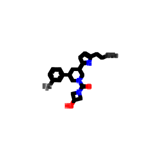 COCCC1=CCC(C2CC(c3cccc(C(F)(F)F)c3)CN(C(=O)N3CC(O)C3)C2)=N1